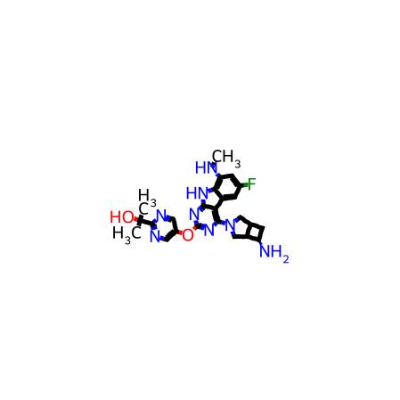 CNc1cc(F)cc2c1[nH]c1nc(Oc3cnc(C(C)(C)O)nc3)nc(N3CC4C[C@@H](N)C4C3)c12